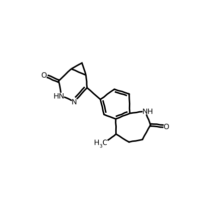 CC1CCC(=O)Nc2ccc(C3=NNC(=O)C4CC34)cc21